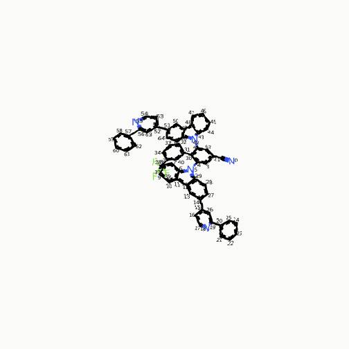 N#Cc1cc(-n2c3ccccc3c3cc(-c4ccnc(-c5ccccc5)c4)ccc32)c(-c2cccc(C(F)(F)F)c2)c(-n2c3ccccc3c3cc(-c4ccnc(-c5ccccc5)c4)ccc32)c1